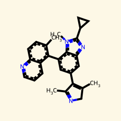 CC1=NCC(C)=C1c1cc(-c2c(C)ccc3ncccc23)c2c(c1)nc(C1CC1)n2C